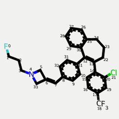 FCCCN1CC(=Cc2ccc(C3=C(c4ccc(C(F)(F)F)cc4Cl)CCCc4ccccc43)cc2)C1